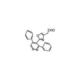 O=CCc1coc(-c2c(-c3ccccc3)cnnc2-c2ccccc2)n1